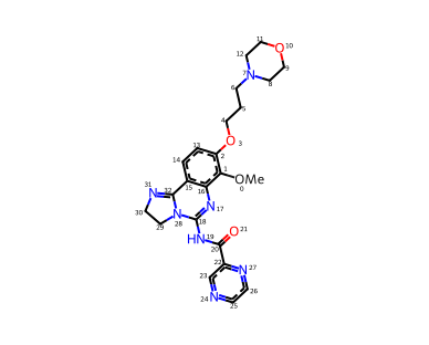 COc1c(OCCCN2CCOCC2)ccc2c1N=C(NC(=O)c1cnccn1)N1CCN=C21